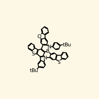 CC(C)(C)c1ccc(N2B3c4cc5c(cc4-n4c6ccc(C(C)(C)C)cc6c6c7sc8ccccc8c7c(c3c64)-c3cc4oc6ccccc6c4cc32)sc2ccccc25)cc1